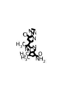 Cc1nn2c3c(cnc2c1-c1cnc(-n2nccn2)c(Cl)c1)C(C(N)=O)CC3(C)C